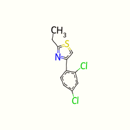 CCc1nc(-c2ccc(Cl)cc2Cl)cs1